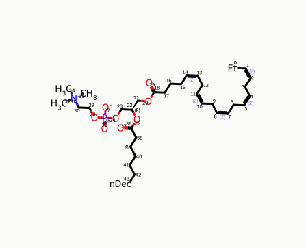 CC/C=C\C/C=C\C/C=C\C/C=C\C/C=C\CCCC(=O)OC[C@H](COP(=O)([O-])OCC[N+](C)(C)C)OC(=O)CCCCCCCCCCCCCCC